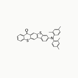 Cc1ccc(N(c2ccc3c(c2)sc2cc4c(=O)c5ccccc5sc4cc23)c2ccc(C)cc2C)c(C)c1